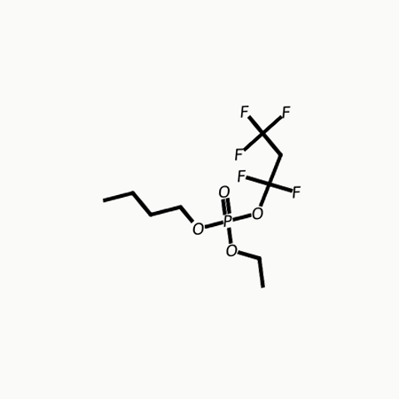 CCCCOP(=O)(OCC)OC(F)(F)CC(F)(F)F